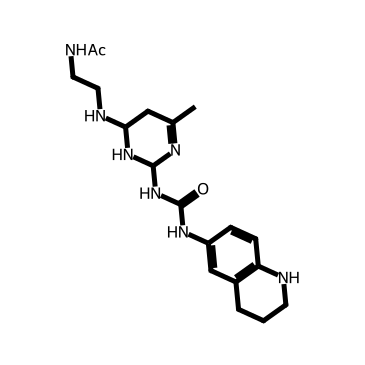 CC(=O)NCCNC1CC(C)=NC(NC(=O)Nc2ccc3c(c2)CCCN3)N1